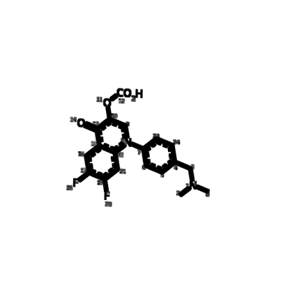 CN(C)Cc1ccc(-n2cc(OC(=O)O)c(=O)c3cc(F)c(F)cc32)cc1